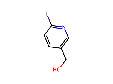 OCc1ccc(I)nc1